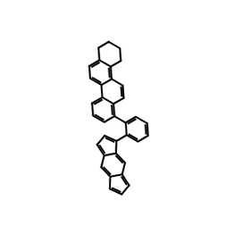 C1=Cc2cc3c(cc2=C1)C(c1ccccc1-c1cccc2c1ccc1c4c(ccc12)CCCC4)=CC=3